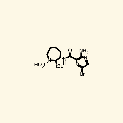 CC(C)(C)C1[C@@H](NC(=O)c2nc(Br)cnc2N)CCCCN1C(=O)O